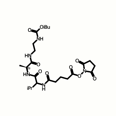 CC(C)COC(=O)NCCNC(=O)[C@H](C)NC(=O)C(NC(=O)CCCC(=O)ON1C(=O)CCC1=O)C(C)C